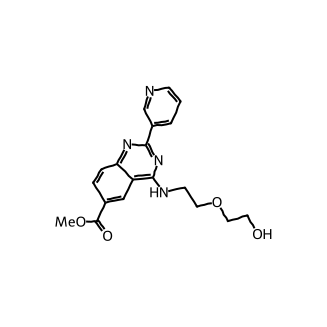 COC(=O)c1ccc2nc(-c3cccnc3)nc(NCCOCCO)c2c1